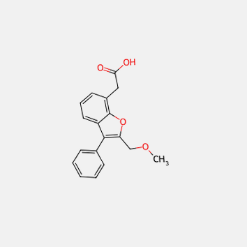 COCc1oc2c(CC(=O)O)cccc2c1-c1ccccc1